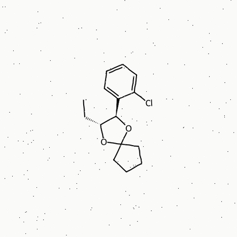 [CH2]C[C@H]1OC2(CCCC2)O[C@@H]1c1ccccc1Cl